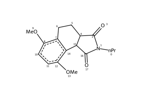 CCCN1C(=O)C2CCc3c(OC)ccc(OC)c3C2C1=O